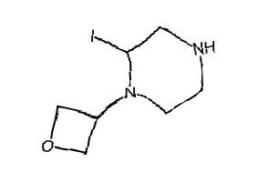 IC1CNCCN1C1COC1